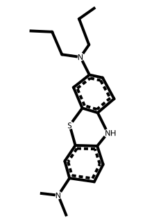 CCCN(CCC)c1ccc2c(c1)Sc1cc(N(C)C)ccc1N2